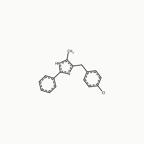 Cc1[nH]c(-c2ccccc2)nc1Cc1ccc(Cl)cc1